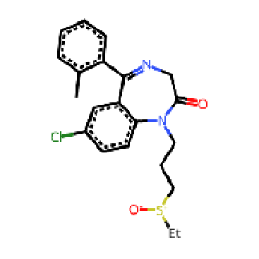 CC[S+]([O-])CCCN1C(=O)CN=C(c2ccccc2C)c2cc(Cl)ccc21